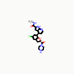 CNC(=O)c1cc2c(-c3cc(Cl)cc4c3O[C@@H](C(=O)N3CCNCC3)C4)ccnc2[nH]1